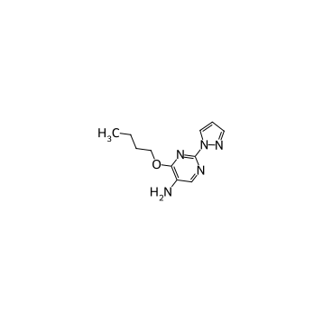 CCCCOc1nc(-n2cccn2)ncc1N